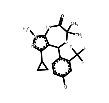 Cn1nc(C2CC2)c2c1NC(=O)C(C)(C)SC2c1ccc(Cl)cc1C(F)(F)F